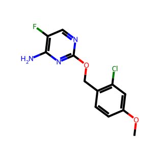 COc1ccc(COc2ncc(F)c(N)n2)c(Cl)c1